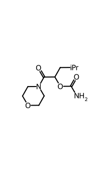 CC(C)CC(OC(N)=O)C(=O)N1CCOCC1